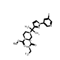 CC(C)(C)OC(=O)N1CCN(C(C)(C)c2ccn(-c3cncc(F)c3)n2)C[C@H]1C(=O)NCC(F)(F)F